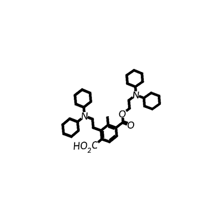 Cc1c(C(=O)OCCN(C2CCCCC2)C2CCCCC2)ccc(C(=O)O)c1CCN(C1CCCCC1)C1CCCCC1